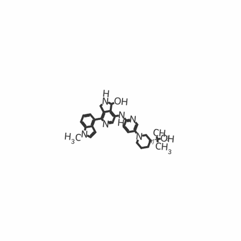 Cn1ccc2c(-c3ncc(Nc4ccc(N5CCC[C@@H](C(C)(C)O)C5)cn4)c4c3CNC4O)cccc21